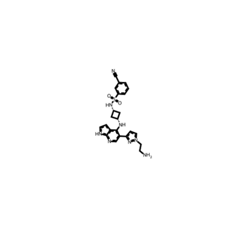 N#Cc1cccc(S(=O)(=O)N[C@H]2C[C@@H](Nc3c(-c4ccn(CCN)n4)cnc4[nH]ccc34)C2)c1